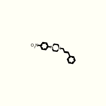 O=[N+]([O-])c1ccc(N2CCN(CC=Cc3ccccc3)CC2)cc1